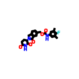 Cc1cc(NC(=O)OCc2ccc3c(c2)C(=O)N(C2CCC(=O)NC2=O)C3)cc(C)c1F